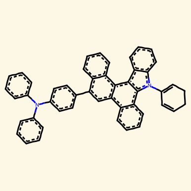 C1=CC(n2c3ccccc3c3c4c5ccccc5c(-c5ccc(N(c6ccccc6)c6ccccc6)cc5)cc4c4ccccc4c32)=CCC1